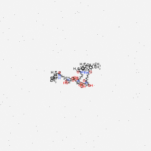 CC(C)Cc1ccc([C@H](C)C(=O)NCCCCCC(=O)N2C[C@H](O)C[C@H]2COP(=O)(O)O[C@@H]2C[C@@H](COP(=O)(O)O[C@@H]3C[C@@H](CO)N(C(=O)CCCCCNC(=O)[C@@H](C)c4ccc(CC(C)C)cc4)C3)N(C(=O)CCCCCNC(=O)[C@@H](C)c3ccc(CC(C)C)cc3)C2)cc1